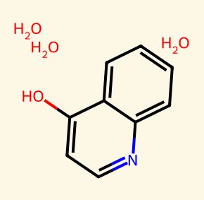 O.O.O.Oc1ccnc2ccccc12